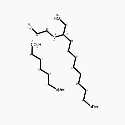 CCCCCCCCCCCCCCCC(=O)O.CCCCCCCCCCCCCCCCCCC(CO)NCCO